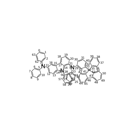 c1ccc(N(c2ccccc2)c2ccc3c(c2)c2cccc(N(c4ccccc4)c4cccc(C5(c6ccccc6)c6ccccc6-c6ccccc65)c4)c2n3-c2ccccc2)cc1